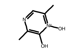 Cc1ncc(C)[n+](O)c1O